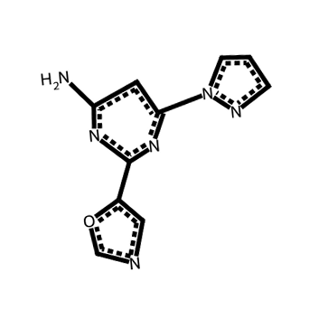 Nc1cc(-n2cccn2)nc(-c2cnco2)n1